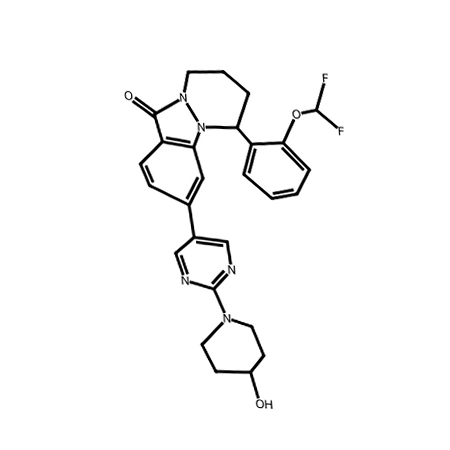 O=c1c2ccc(-c3cnc(N4CCC(O)CC4)nc3)cc2n2n1CCCC2c1ccccc1OC(F)F